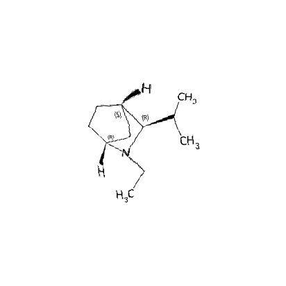 CCN1[C@@H]2CC[C@@H](C2)[C@H]1C(C)C